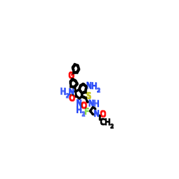 C=CC(=O)N1C[C@H](NC(=O)c2sc3c(N)ccc4c3c2C(N)C(=O)C4(N)c2ccc(Oc3ccccc3)cc2)[C@@H](F)C1